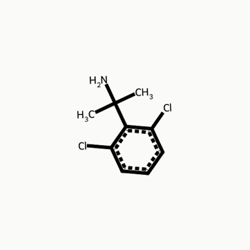 CC(C)(N)c1c(Cl)cccc1Cl